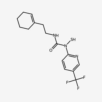 O=C(NCCC1=CCCCC1)N(S)c1ccc(C(F)(F)F)cn1